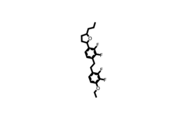 CCCC1CCC(c2ccc(CCc3ccc(OCC)c(F)c3F)c(F)c2F)O1